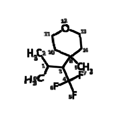 CC(C)C(C(F)(F)F)C1(C)CCOCC1